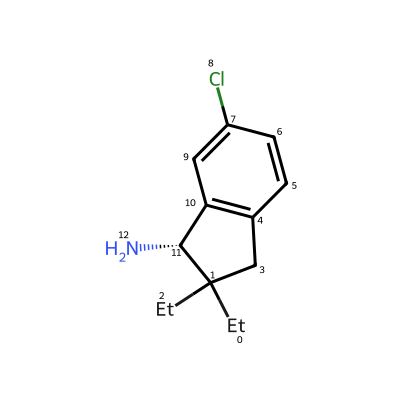 CCC1(CC)Cc2ccc(Cl)cc2[C@H]1N